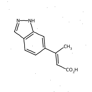 C/C(=C\C(=O)O)c1ccc2cn[nH]c2c1